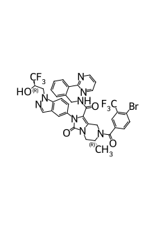 C[C@@H]1Cn2c(c(C(=O)NCc3ccccc3-c3ncccn3)n(-c3ccc4c(cnn4C[C@@H](O)C(F)(F)F)c3)c2=O)CN1C(=O)c1ccc(Br)c(C(F)(F)F)c1